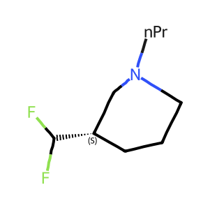 CCCN1CCC[C@H](C(F)F)C1